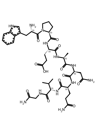 CC(C)[C@H](NC(=O)[C@H](CCC(N)=O)NC(=O)[C@H](CC(N)=O)NC(=O)[C@H](C)NC(=O)[C@H](CCC(=O)O)NC(=O)[C@@H]1CCCN1C(=O)[C@@H](N)Cc1c[nH]c2ccccc12)C(=O)NCC(N)=O